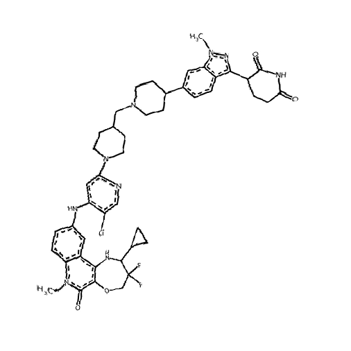 Cn1nc(C2CCC(=O)NC2=O)c2ccc(C3CCN(CC4CCN(c5cc(Nc6ccc7c(c6)c6c(c(=O)n7C)OCC(F)(F)C(C7CC7)N6)c(Cl)cn5)CC4)CC3)cc21